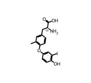 Cc1cc(C[C@H](N)C(=O)O)ccc1Oc1ccc(O)c(I)c1